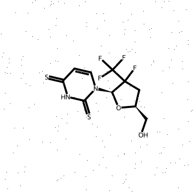 OC[C@@H]1CC(F)(C(F)(F)F)[C@H](n2ccc(=S)[nH]c2=S)O1